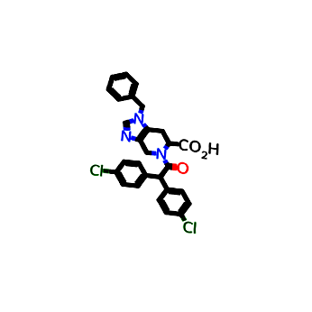 O=C(O)C1Cc2c(ncn2Cc2ccccc2)CN1C(=O)C(c1ccc(Cl)cc1)c1ccc(Cl)cc1